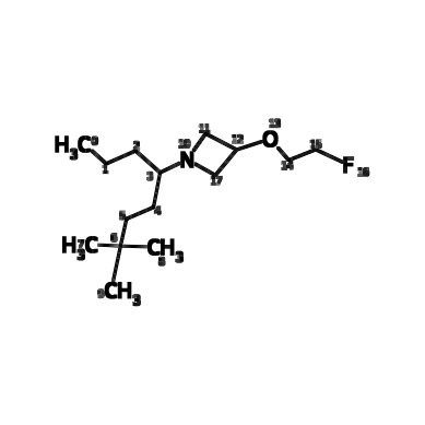 CCCC(CCC(C)(C)C)N1CC(OCCF)C1